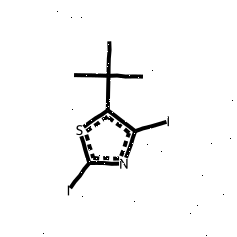 CC(C)(C)c1sc(I)nc1I